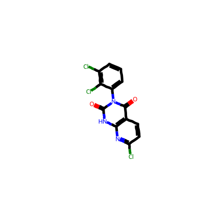 O=c1[nH]c2nc(Cl)ccc2c(=O)n1-c1cccc(Cl)c1Cl